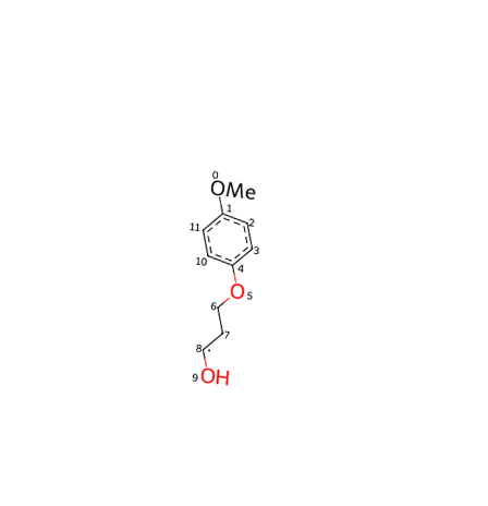 COc1ccc(OCC[CH]O)cc1